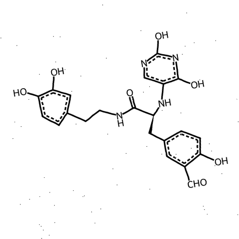 O=Cc1cc(C[C@H](Nc2cnc(O)nc2O)C(=O)NCCc2ccc(O)c(O)c2)ccc1O